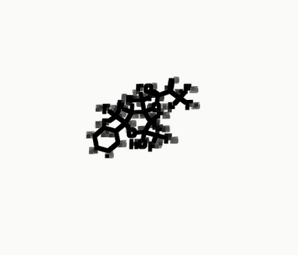 C=C(C(=O)OC1(C(F)(F)F)C(F)(F)C(O)(C(F)(F)F)OC(C2CCCCC2)(C(F)(F)F)C1(F)F)C(F)(F)F